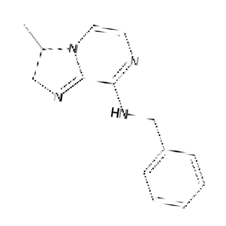 CC1CN=C2C(NCc3ccccc3)=NC=CN21